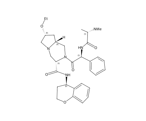 CCO[C@@H]1C[C@@H]2CN(C(=O)[C@@H](NC(=O)[C@H](C)NC)c3ccccc3)[C@H](C(=O)N[C@@H]3CCOc4ccccc43)CN2C1